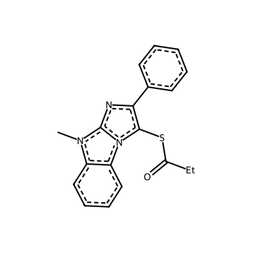 CCC(=O)Sc1c(-c2ccccc2)nc2n(C)c3ccccc3n12